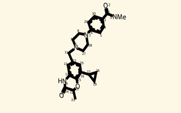 CNC(=O)c1ccc(N2CCN(Cc3cc4c(c(C5CC5)c3)OC(C)C(=O)N4)CC2)cc1